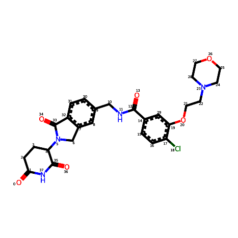 O=C1CCC(N2Cc3cc(CNC(=O)c4ccc(Cl)c(OCCN5CCOCC5)c4)ccc3C2=O)C(=O)N1